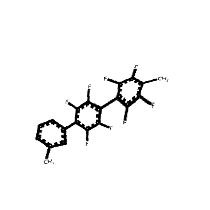 Cc1cccc(-c2c(F)c(F)c(-c3c(F)c(F)c(C)c(F)c3F)c(F)c2F)c1